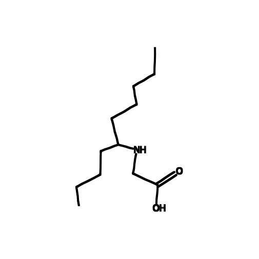 CCCCCC(CCCC)NCC(=O)O